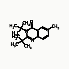 Cc1ccc2nc(C(C)(C)C)n(C(C)(C)C)c(=O)c2c1